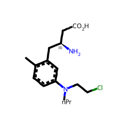 CCCN(CCCl)c1ccc(C)c(C[C@H](N)CC(=O)O)c1